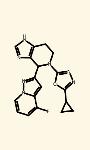 Fc1cccn2nc(C3c4nc[nH]c4CCN3c3nnc(C4CC4)o3)cc12